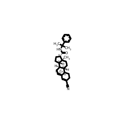 CC(C)(NC(=O)[C@H]1CC[C@H]2[C@@H]3CC=C4C=C(C#N)CC[C@]4(C)[C@H]3CC[C@]12C)c1ccccc1